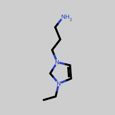 CCN1C=CN(CCCN)C1